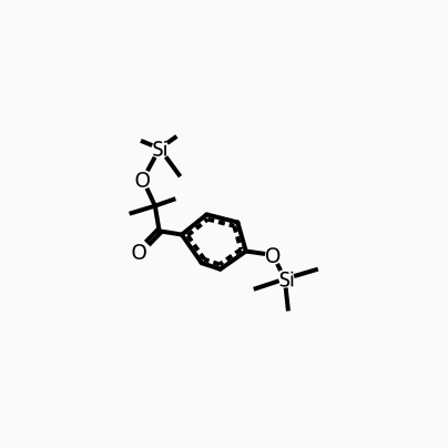 CC(C)(O[Si](C)(C)C)C(=O)c1ccc(O[Si](C)(C)C)cc1